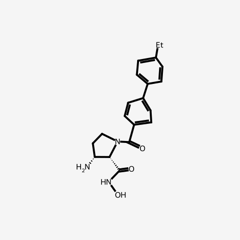 CCc1ccc(-c2ccc(C(=O)N3CC[C@@H](N)[C@H]3C(=O)NO)cc2)cc1